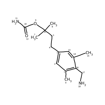 Cc1cc(CCC(C)(C)OC(N)=O)cc(C)c1CN